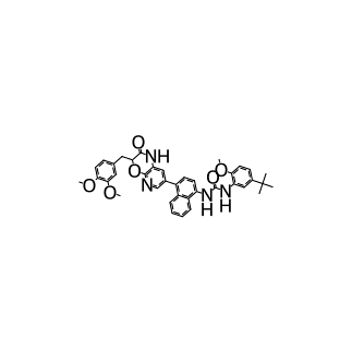 COc1ccc(C(C)(C)C)cc1NC(=O)Nc1ccc(-c2cnc3c(c2)NC(=O)C(Cc2ccc(OC)c(OC)c2)O3)c2ccccc12